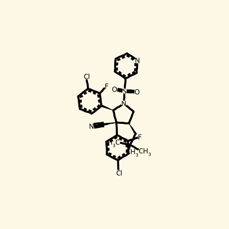 CC(C)(C)C[C@@H]1CN(S(=O)(=O)c2cccnc2)[C@H](c2cccc(Cl)c2F)[C@@]1(C#N)c1ccc(Cl)cc1F